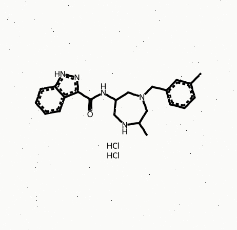 Cc1cccc(CN2CC(C)NCC(NC(=O)c3n[nH]c4ccccc34)C2)c1.Cl.Cl